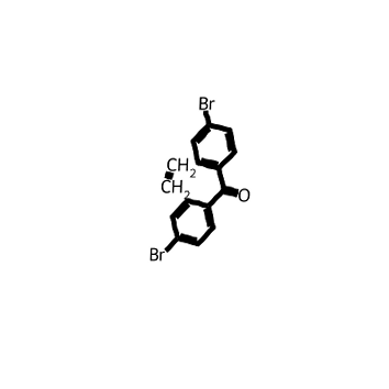 C=C.O=C(c1ccc(Br)cc1)c1ccc(Br)cc1